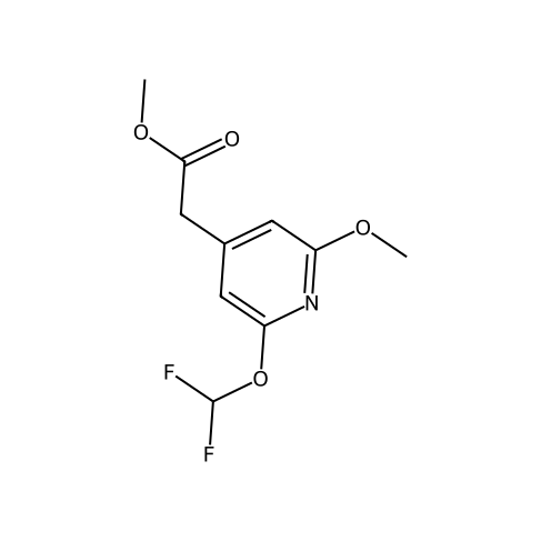 COC(=O)Cc1cc(OC)nc(OC(F)F)c1